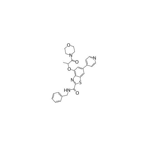 CC(Oc1cc(-c2ccncc2)cc2sc(C(=O)NCc3ccccc3)nc12)C(=O)N1CCOCC1